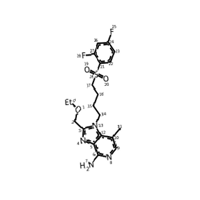 CCOCc1nc2c(N)ncc(C)c2n1CCCCS(=O)(=O)c1ccc(F)cc1F